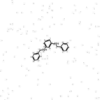 c1ccc(CNc2cccc(NCc3ccccc3)c2)cc1